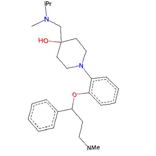 CNCCC(Oc1ccccc1N1CCC(O)(CN(C)C(C)C)CC1)c1ccccc1